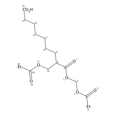 CCC(=O)OCOC(=O)C(CCCCCCC(=O)O)COC(=O)CC